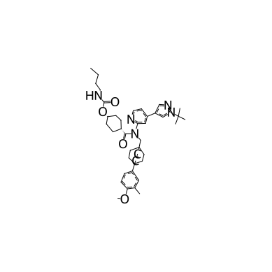 CCCCNC(=O)O[C@H]1CC[C@H](C(=O)N(CC23CCC(c4ccc(OC)c(C)c4)(CC2)CC3)c2cc(-c3cnn(C(C)(C)C)c3)ccn2)CC1